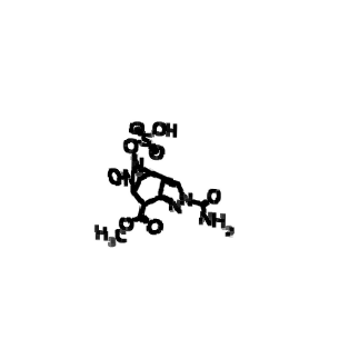 COC(=O)C1C2=[N+]([O-])N(OS(=O)(=O)O)C(C2)c2cn(C(N)=O)nc21